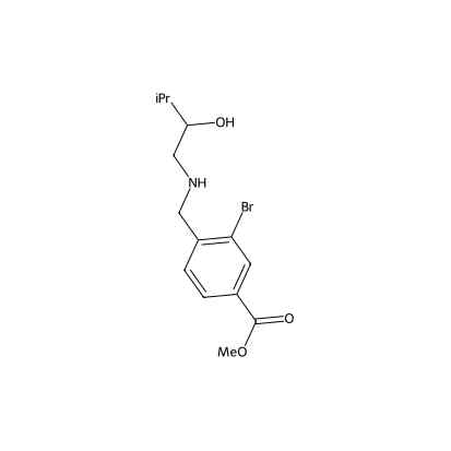 COC(=O)c1ccc(CNCC(O)C(C)C)c(Br)c1